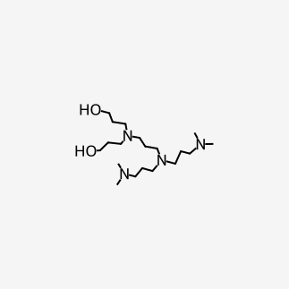 CN(C)CCCN(CCCN(C)C)CCCN(CCCO)CCCO